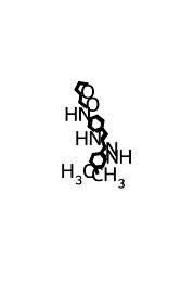 CC1(C)CCc2c(-c3cc4ccc(NC(=O)CC5CCCO5)cc4[nH]3)n[nH]c2C1